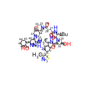 Cc1ncsc1-c1ccc(C(C)NC(=O)[C@@H]2C[C@@H](O)CN2C(=O)C(NC(=O)CCC(=O)N2CCOC3(CCN(c4cc(-c5ccccc5O)nnc4N)CC3)C2)C(C)(C)C)cc1